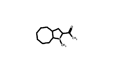 CC(=O)C1CC2CCCCCCC2N1C